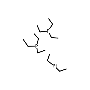 CCP(CC)CC.CCP(CC)CC.C[CH2][Pt][CH2]C